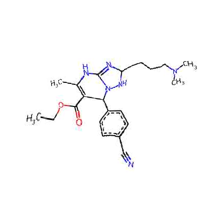 CCOC(=O)C1=C(C)NC2=NC(CCCN(C)C)NN2C1c1ccc(C#N)cc1